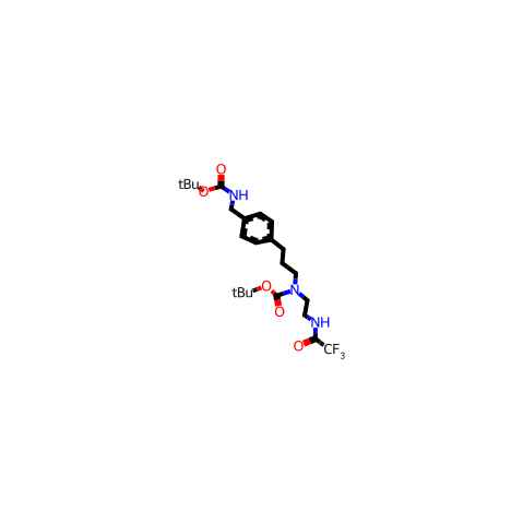 CC(C)(C)OC(=O)NCc1ccc(CCCN(CCNC(=O)C(F)(F)F)C(=O)OC(C)(C)C)cc1